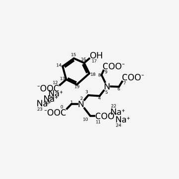 O=C([O-])CN(CCN(CC(=O)[O-])CC(=O)[O-])CC(=O)[O-].O=C([O-])c1ccc(O)cc1.[Na+].[Na+].[Na+].[Na+].[Na+]